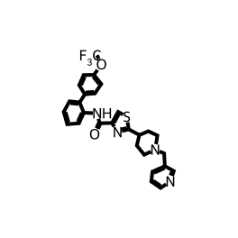 O=C(Nc1ccccc1-c1ccc(OC(F)(F)F)cc1)c1csc(C2CCN(Cc3cccnc3)CC2)n1